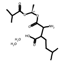 CC(C)CCC(C(=O)O)C(N)C(=O)O[C@H](C)OC(=O)C(C)C.O.O